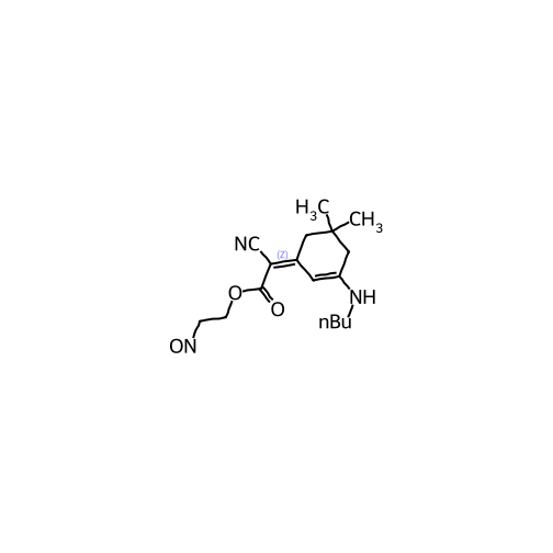 CCCCNC1=C/C(=C(/C#N)C(=O)OCCN=O)CC(C)(C)C1